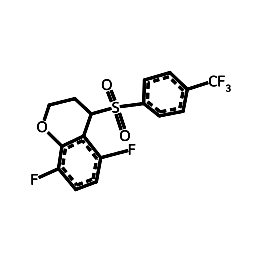 O=S(=O)(c1ccc(C(F)(F)F)cc1)C1CCOc2c(F)ccc(F)c21